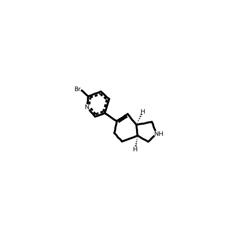 Brc1ccc(C2=C[C@H]3CNC[C@H]3CC2)cn1